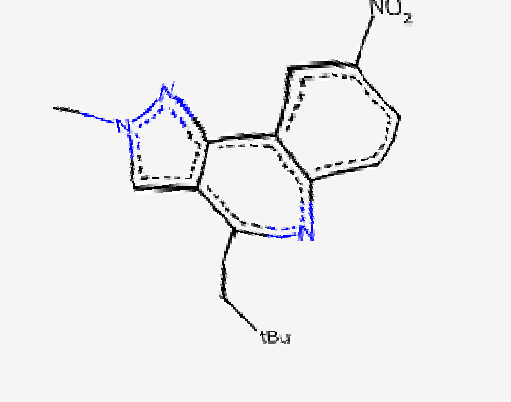 Cn1cc2c(CC(C)(C)C)nc3ccc([N+](=O)[O-])cc3c2n1